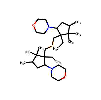 CCC1(CSCC2(CC)C(N3CCOCC3)CC(C)C2(C)C)C(N2CCOCC2)CC(C)C1(C)C